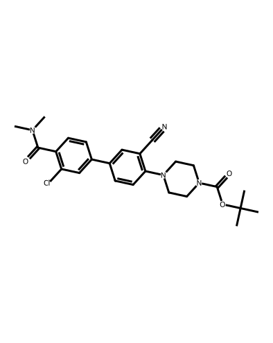 CN(C)C(=O)c1ccc(-c2ccc(N3CCN(C(=O)OC(C)(C)C)CC3)c(C#N)c2)cc1Cl